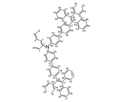 C=C/C(=C\C=C/C)N(c1ccc(-c2ccc(C(=C(C(/C=C\C)=C/C)c3ccccc3)C(/C=C\C)=C/C)cc2)cc1)c1ccc(-c2ccc(/C(=C(C(/C=C\C)=C/C)\c3ccccc3)c3ccccc3)cc2)cc1